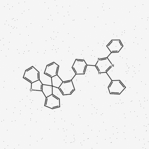 c1ccc(-c2nc(-c3ccccc3)nc(-c3cccc(-c4cccc5c4-c4ccccc4C54c5ccccc5-c5oc6ccccc6c54)c3)n2)cc1